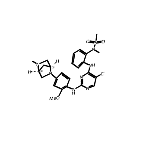 COc1cc(N2C[C@@H]3C[C@H]2CN3C)ccc1Nc1ncc(Cl)c(Nc2ccccc2N(C)S(C)(=O)=O)n1